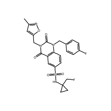 Cc1cc(Cn2c(=O)c3cc(S(=O)(=O)NC4(CF)CC4)ccc3n(Cc3ccc(F)cc3)c2=O)on1